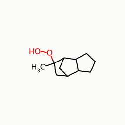 CC1(OO)CC2CC1C1CCCC21